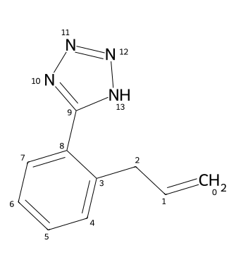 C=CCc1ccccc1-c1nnn[nH]1